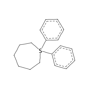 c1ccc(S2(c3ccccc3)CCCCCC2)cc1